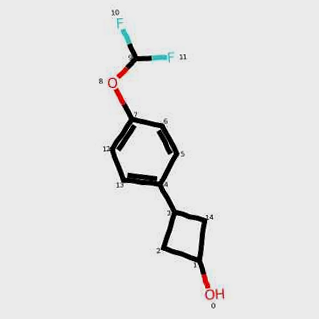 OC1CC(c2ccc(OC(F)F)cc2)C1